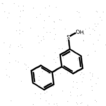 OSc1cccc(-c2ccccc2)c1